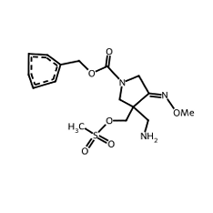 CON=C1CN(C(=O)OCc2ccccc2)CC1(CN)COS(C)(=O)=O